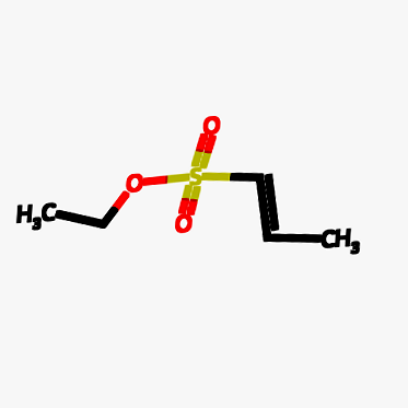 C/C=C/S(=O)(=O)OCC